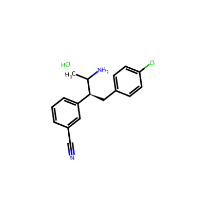 CC(N)[C@@H](Cc1ccc(Cl)cc1)c1cccc(C#N)c1.Cl